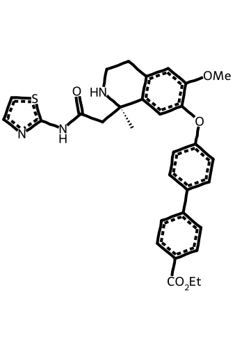 CCOC(=O)c1ccc(-c2ccc(Oc3cc4c(cc3OC)CCN[C@]4(C)CC(=O)Nc3nccs3)cc2)cc1